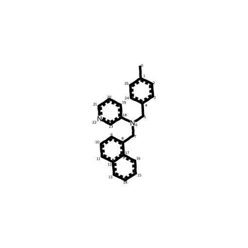 Cc1ccc(CN(Cc2cccc3ccccc23)c2cccnc2)cc1